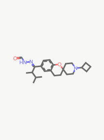 CC(C)C(C)/C(=N\NC=O)c1ccc2c(c1)CCC1(CCN(C3CCC3)CC1)O2